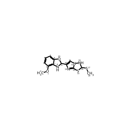 COc1cccc2c1NC(c1cn3c(n1)SC(SC)N3)O2